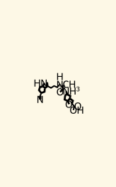 C[C@H](NCCCc1c[nH]c2ccc(C#N)cc12)C(=O)Nc1ccc2oc(C(=O)O)cc2c1